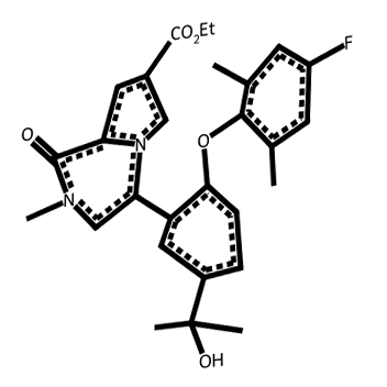 CCOC(=O)c1cc2c(=O)n(C)cc(-c3cc(C(C)(C)O)ccc3Oc3c(C)cc(F)cc3C)n2c1